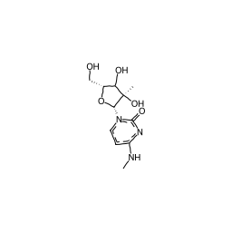 CNc1ccn([C@@H]2O[C@H](CO)C(O)[C@@]2(C)O)c(=O)n1